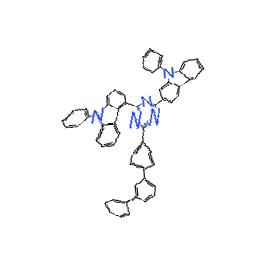 c1ccc(-c2cccc(-c3ccc(-c4nc(-c5ccc6c7ccccc7n(-c7ccccc7)c6c5)nc(-c5cccc6c5c5ccccc5n6-c5ccccc5)n4)cc3)c2)cc1